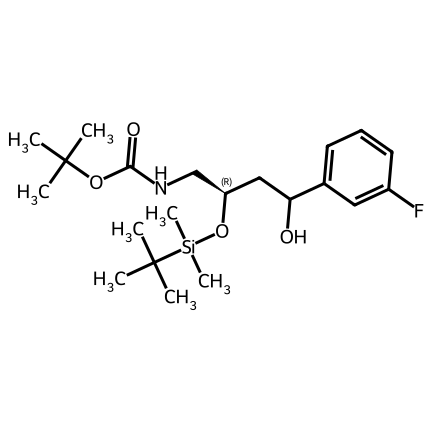 CC(C)(C)OC(=O)NC[C@@H](CC(O)c1cccc(F)c1)O[Si](C)(C)C(C)(C)C